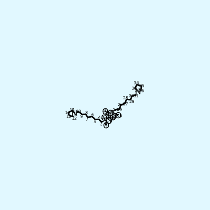 O=S(=O)(CCCCCCCCN1CCCC1)OS(=O)(=O)OS(=O)(=O)CCCCCCCCN1CCCC1